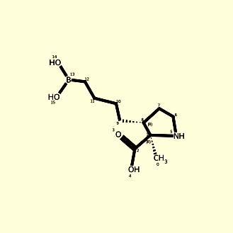 C[C@@]1(C(=O)O)NCC[C@H]1CCCCB(O)O